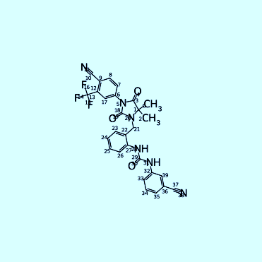 CC1(C)C(=O)N(c2ccc(C#N)c(C(F)(F)F)c2)C(=O)N1Cc1ccccc1NC(=O)Nc1cccc(C#N)c1